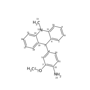 COc1cc(C2c3ccccc3N(C)c3ccccc32)ccc1N